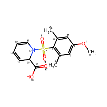 COc1cc(C)c(S(=O)(=O)N2C=CC=CC2C(=O)O)c(C)c1